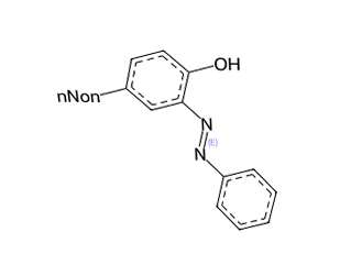 CCCCCCCCCc1ccc(O)c(/N=N/c2ccccc2)c1